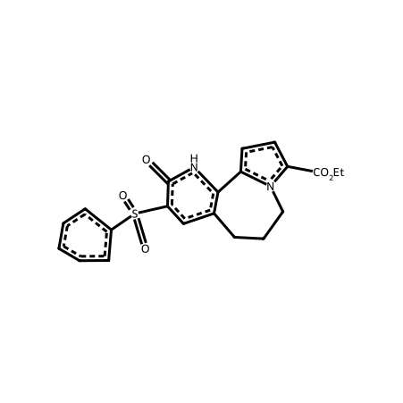 CCOC(=O)c1ccc2n1CCCc1cc(S(=O)(=O)c3ccccc3)c(=O)[nH]c1-2